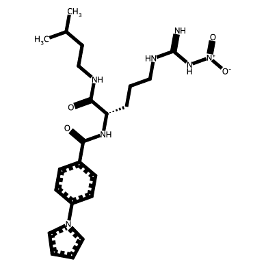 CC(C)CCNC(=O)[C@H](CCCNC(=N)N[N+](=O)[O-])NC(=O)c1ccc(-n2cccc2)cc1